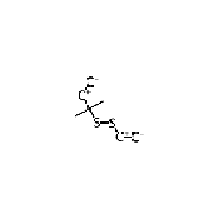 [CH2-][CH+]SSC(C)(C)[CH+][CH2-]